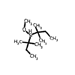 CCC(C)(C)[SiH](OC)C(C)(C)CC